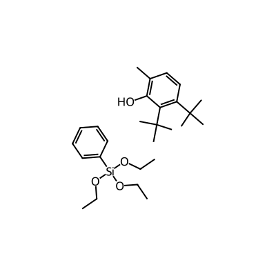 CCO[Si](OCC)(OCC)c1ccccc1.Cc1ccc(C(C)(C)C)c(C(C)(C)C)c1O